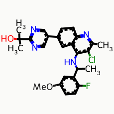 COc1ccc(F)c(C(C)Nc2c(Cl)c(C)nc3ccc(-c4cnc(C(C)(C)O)nc4)cc23)c1